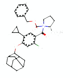 O=C(O)[C@@H]1CCC[N+]1(C(=O)OCc1ccccc1)C(=O)c1cc(C2CC2)c(OC2C3CC4CC(C3)CC2C4)cc1F